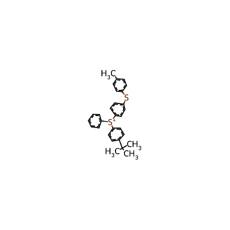 Cc1ccc(Sc2ccc([S+](c3ccccc3)c3ccc(C(C)(C)C)cc3)cc2)cc1